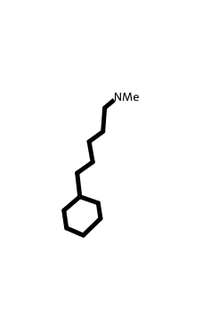 CNCCCCCC1CCCCC1